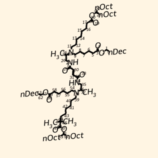 CCCCCCCCCCCOC(=O)CCCCCN(CCCCCCCC(=O)OC(CCCCCCCC)CCCCCCCC)C(C)CNC(=O)/C=C/C(=O)NCC(C)N(CCCCCCC(C)(C)C(=O)OC(CCCCCCCC)CCCCCCCC)CCCCCC(=O)OCCCCCCCCCCC